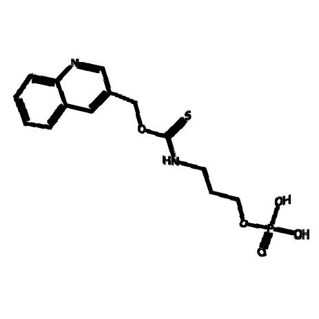 O=P(O)(O)OCCCNC(=S)OCc1cnc2ccccc2c1